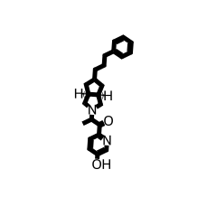 CC(C(=O)c1ccc(O)cn1)N1C[C@H]2CC(CCCc3ccccc3)C[C@H]2C1